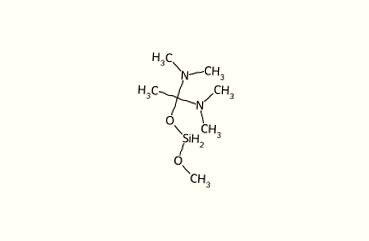 CO[SiH2]OC(C)(N(C)C)N(C)C